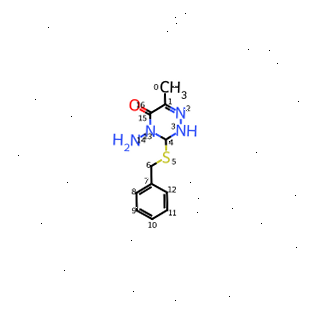 CC1=NNC(SCc2ccccc2)N(N)C1=O